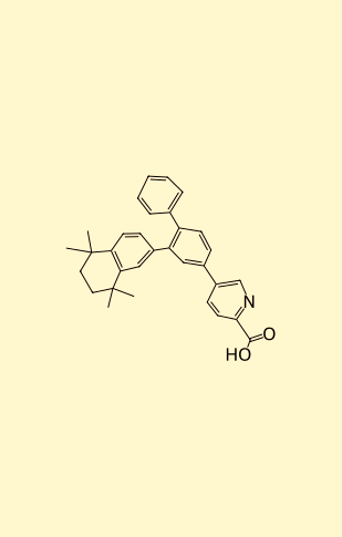 CC1(C)CCC(C)(C)c2cc(-c3cc(-c4ccc(C(=O)O)nc4)ccc3-c3ccccc3)ccc21